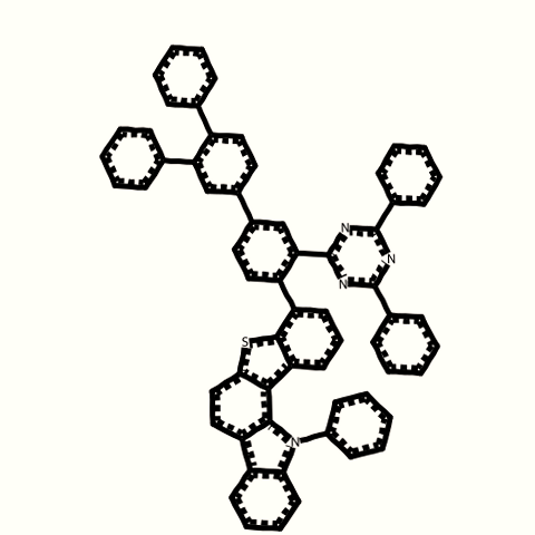 c1ccc(-c2nc(-c3ccccc3)nc(-c3cc(-c4ccc(-c5ccccc5)c(-c5ccccc5)c4)ccc3-c3cccc4c3sc3ccc5c6ccccc6n(-c6ccccc6)c5c34)n2)cc1